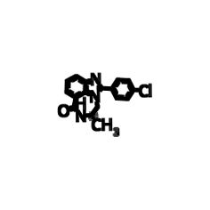 C[C@H]1Cn2c(-c3ccc(Cl)cc3)nc3cccc(c32)C(=O)N1